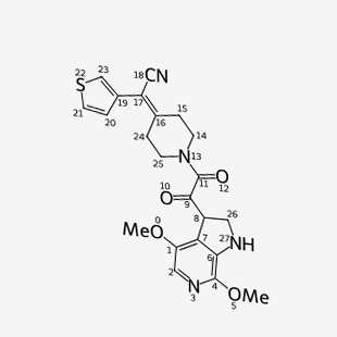 COc1cnc(OC)c2c1C(C(=O)C(=O)N1CCC(=C(C#N)c3ccsc3)CC1)CN2